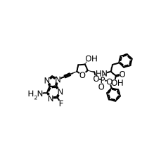 Nc1nc(F)nc2c1ncn2C#C[C@H]1C[C@H](O)[C@@H](CO[P@@](=O)(NC(Cc2ccccc2)C(=O)O)Oc2ccccc2)O1